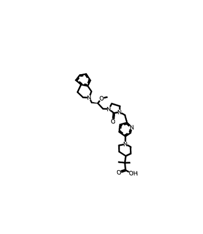 CO[C@H](CN1CCc2ccccc2C1)CN1CCN(Cc2ccc(N3CCC(C(C)(C)C(=O)O)CC3)cn2)C1=O